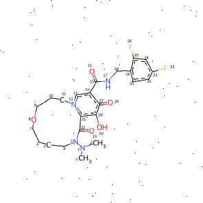 CN(C)N1CCCCOCCCn2cc(C(=O)NCc3ccc(F)cc3F)c(=O)c(O)c2C1=O